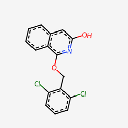 Oc1cc2ccccc2c(OCc2c(Cl)cccc2Cl)n1